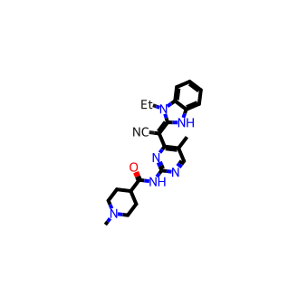 CCN1C(=C(C#N)c2nc(NC(=O)C3CCN(C)CC3)ncc2C)Nc2ccccc21